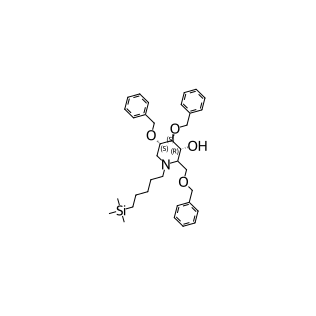 C[Si](C)(C)CCCCCN1C[C@H](OCc2ccccc2)[C@@H](OCc2ccccc2)[C@H](O)C1COCc1ccccc1